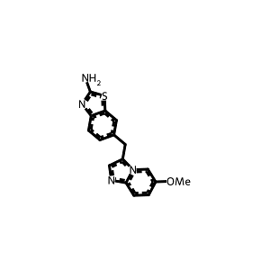 COc1ccc2ncc(Cc3ccc4nc(N)sc4c3)n2c1